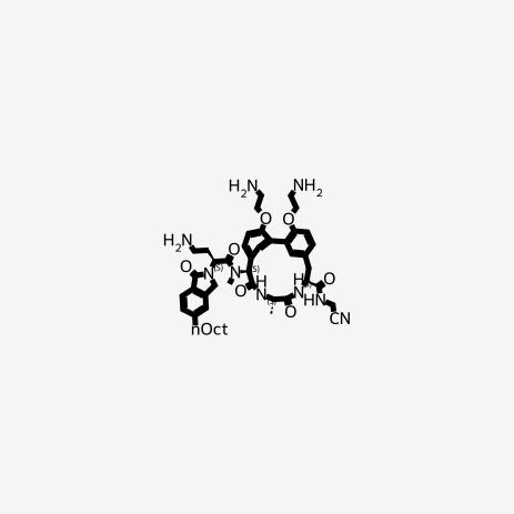 CCCCCCCCc1ccc2c(c1)CN([C@@H](CCN)C(=O)N(C)[C@@H]1C(=O)N[C@@H](C)C(=O)N[C@H](C(=O)NCC#N)Cc3ccc(OCCN)c(c3)-c3cc1ccc3OCCN)C2=O